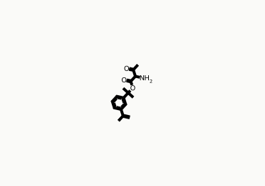 C=C(C)c1cccc(C(C)(C)OC(=O)C(N)C(C)=O)c1